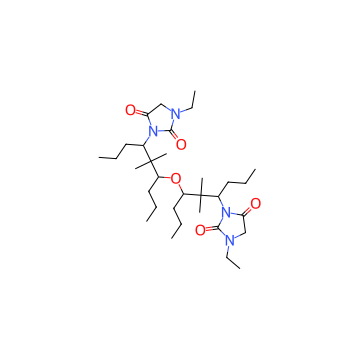 CCCC(OC(CCC)C(C)(C)C(CCC)N1C(=O)CN(CC)C1=O)C(C)(C)C(CCC)N1C(=O)CN(CC)C1=O